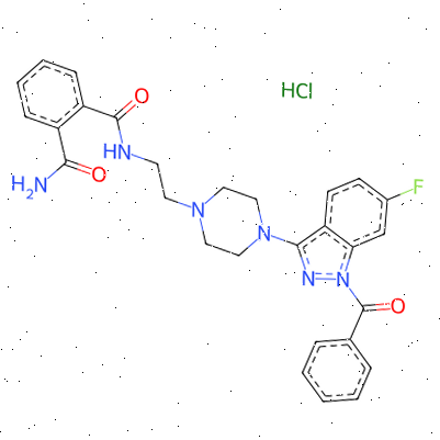 Cl.NC(=O)c1ccccc1C(=O)NCCN1CCN(c2nn(C(=O)c3ccccc3)c3cc(F)ccc23)CC1